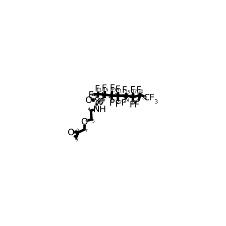 O=S(=O)(NCCOCC1CO1)C(F)(F)C(F)(F)C(F)(F)C(F)(F)C(F)(F)C(F)(F)C(F)(F)C(F)(F)F